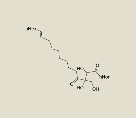 CCCCCCC=CCCCCCCCC(=O)C(O)(CO)C(O)C(=O)CCCCCCCCC